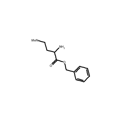 CNCCC(N)C(=O)OCc1ccccc1